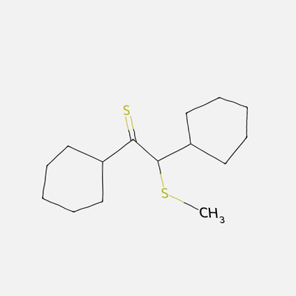 CSC(C(=S)C1CCCCC1)C1CCCCC1